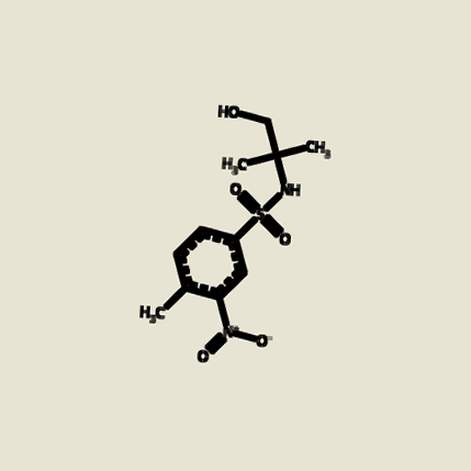 Cc1ccc(S(=O)(=O)NC(C)(C)CO)cc1[N+](=O)[O-]